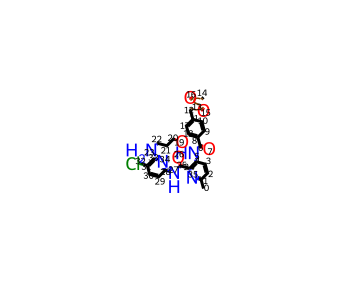 Cc1ccc(NC(=O)c2ccc(CS(C)(=O)=O)cc2OCCCN)c(C(=O)Nc2ccc(Cl)cn2)n1